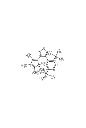 CC1=C(C)C(C)(C)C(C2=CC[C]=C2c2cc(C(C)(C)C)ccc2C(C)(C)C)=C1C